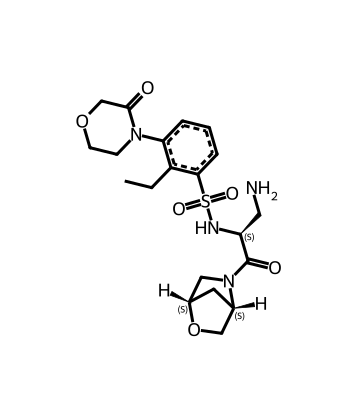 CCc1c(N2CCOCC2=O)cccc1S(=O)(=O)N[C@@H](CN)C(=O)N1C[C@@H]2C[C@H]1CO2